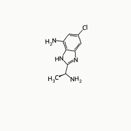 C[C@H](N)c1nc2cc(Cl)cc(N)c2[nH]1